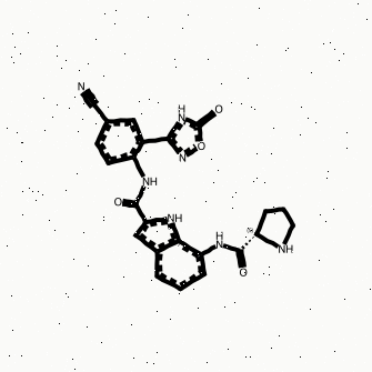 N#Cc1ccc(NC(=O)c2cc3cccc(NC(=O)[C@@H]4CCCN4)c3[nH]2)c(-c2noc(=O)[nH]2)c1